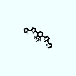 c1csc(-c2ccc(-c3ccc(-c4ccc(-c5cccs5)s4)c4nsnc34)s2)c1